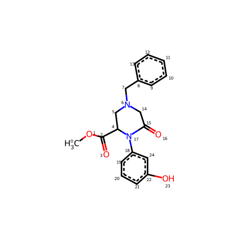 COC(=O)C1CN(Cc2ccccc2)CC(=O)N1c1cccc(O)c1